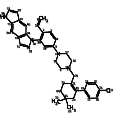 C=Cc1ccc(N2CCN(CC3=C(c4ccc(Cl)cc4)CC(C)(C)CC3)CC2)cc1-n1ncc2nc3[nH]ccc3cc21